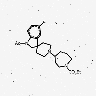 CCOC(=O)N1CCCC(N2CCC3(CC2)CN(C(C)=O)c2ccc(F)cc23)CC1